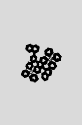 c1ccc([Si](c2ccccc2)(c2ccccc2)c2ccc3c(-c4cccc5ccccc45)c4cc([Si](c5ccccc5)(c5ccccc5)c5ccccc5)ccc4c(-c4cccc(-c5cccc6ccccc56)c4)c3c2)cc1